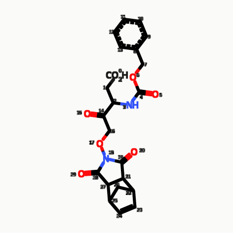 O=C(O)CC(NC(=O)OCc1ccccc1)C(=O)CON1C(=O)C2C3C=CC(C3)C2C1=O